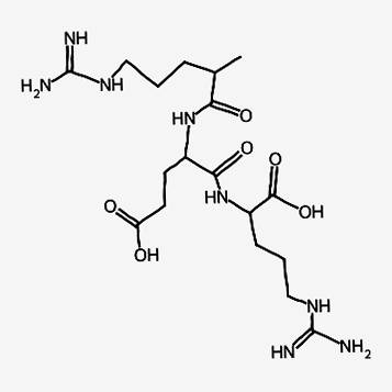 CC(CCCNC(=N)N)C(=O)NC(CCC(=O)O)C(=O)NC(CCCNC(=N)N)C(=O)O